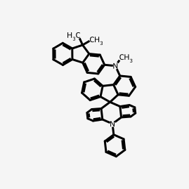 CN(c1ccc2c(c1)C(C)(C)c1ccccc1-2)c1cccc2c1-c1ccccc1C21c2ccccc2N(c2ccccc2)c2ccccc21